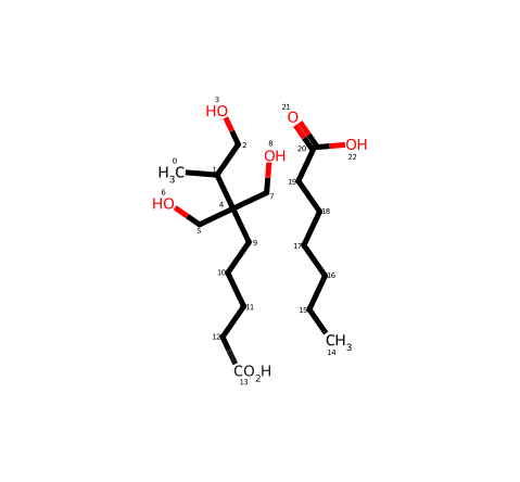 CC(CO)C(CO)(CO)CCCCC(=O)O.CCCCCCC(=O)O